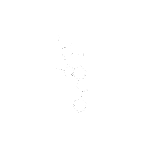 Cc1nc2c(NC(=O)c3ccccc3)ncnc2n1[C@@H]1O[C@H](CO)C(O)[C@@H]1O